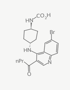 CCCC(=O)c1cnc2ccc(Br)cc2c1N[C@H]1CC[C@H](NC(=O)O)CC1